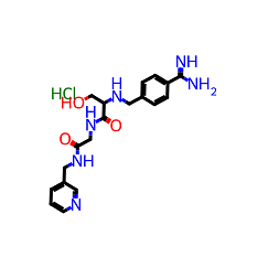 Cl.N=C(N)c1ccc(CNC(CO)C(=O)NCC(=O)NCc2cccnc2)cc1